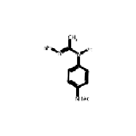 CCCN=C(C)N(CC)c1ccc(NC(C)=O)cc1